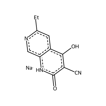 CCc1cc2c(O)c(C#N)c(=O)[nH]c2cn1.[Na]